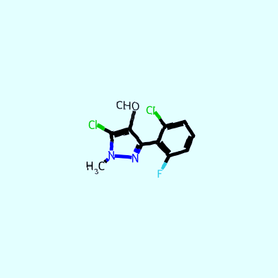 Cn1nc(-c2c(F)cccc2Cl)c(C=O)c1Cl